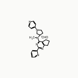 CN(c1nc(-c2ccccn2)nc2c1CCC2)[C@]1(C=O)CCN(c2ccncc2)C1